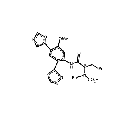 COc1cc(NC(=O)[C@@H](CC(C)C)N(C(=O)O)C(C)(C)C)c(-c2nncs2)cc1-c1cnco1